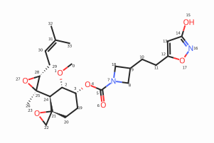 CO[C@@H]1[C@H](OC(=O)N2CC(CCc3cc(O)no3)C2)CC[C@]2(CO2)[C@H]1[C@@]1(C)O[C@@H]1CC=C(C)C